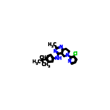 Cc1nc2c(c(Nc3ccc(C(C)(C)C)cc3)n1)CN(c1ncccc1Cl)CC2